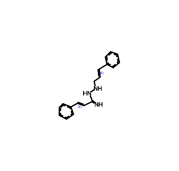 N=C(/C=C/c1ccccc1)NNC/C=C/c1ccccc1